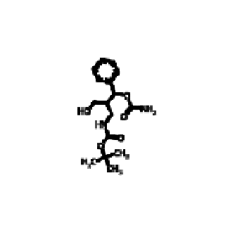 CC(C)(C)OC(=O)NCC(CO)C(OC(N)=O)c1ccccc1